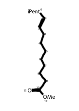 CCCC(C)C=CCCCCCCCC(=O)OC